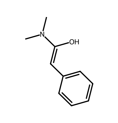 CN(C)C(O)=Cc1ccccc1